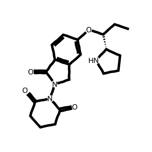 CCC(Oc1ccc2c(c1)CN(N1C(=O)CCCC1=O)C2=O)[C@@H]1CCCN1